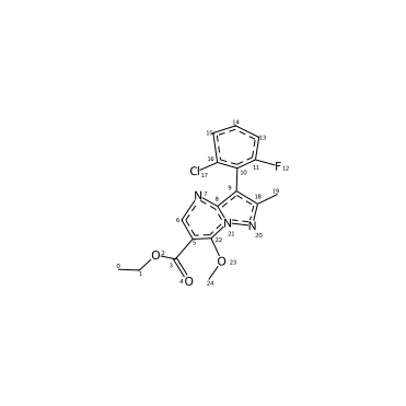 CCOC(=O)c1cnc2c(-c3c(F)cccc3Cl)c(C)nn2c1OC